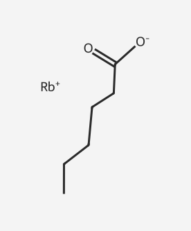 CCCCCC(=O)[O-].[Rb+]